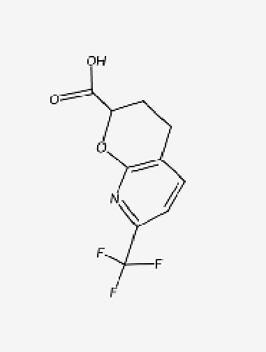 O=C(O)C1CCc2ccc(C(F)(F)F)nc2O1